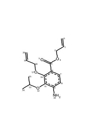 C=CCOC(=O)c1ccc(N)c(OC(C)C)c1OCC=C